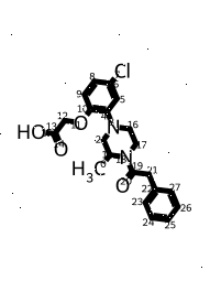 CC1CN(c2cc(Cl)ccc2OCC(=O)O)CCN1C(=O)Cc1ccccc1